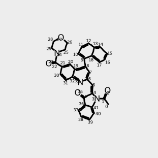 CC(=O)N1C(=Cc2cc(-c3cccc4ccccc34)c3cc(C(=O)N4CCOCC4)ccc3n2)C(=O)c2ccccc21